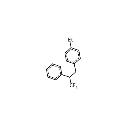 CCc1ccc(CC(c2ccccc2)C(F)(F)F)cc1